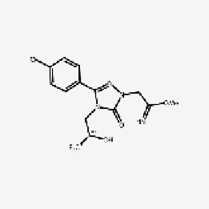 COC(=N)Cn1nc(-c2ccc(Cl)cc2)n(C[C@@H](O)C(F)(F)F)c1=O